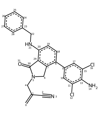 C=C(C#N)CN1Cc2c(-c3cc(Cl)c(N)c(Cl)c3)ccc(NCc3ccccc3)c2C1=O